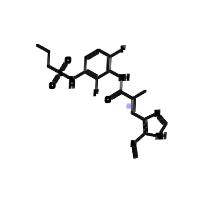 C=Nc1[nH]cnc1/C=C(\C)C(=O)Nc1c(F)ccc(NS(=O)(=O)CCC)c1F